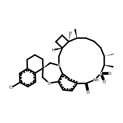 C[C@@H]1[C@@H](C)CCC[C@H](C)[C@@H]2CC[C@H]2CN2C[C@@]3(CCCc4cc(Cl)ccc43)COc3ccc(cc32)C(=O)NS1(=O)=O